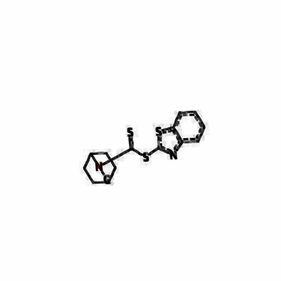 S=C(Sc1nc2ccccc2s1)N1CC2CCC(CC2)C1